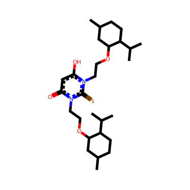 CC1CCC(C(C)C)C(OCCn2c(O)[c]c(=O)n(CCOC3CC(C)CCC3C(C)C)c2=S)C1